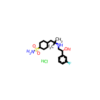 CC(C)(CC1CCC(S(N)(=O)=O)CC1)NC[C@H](O)c1cccc(F)c1.Cl